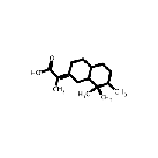 C/C(C(=O)O)=C1/CCC2CCC(C)C(C)(C)C2C1